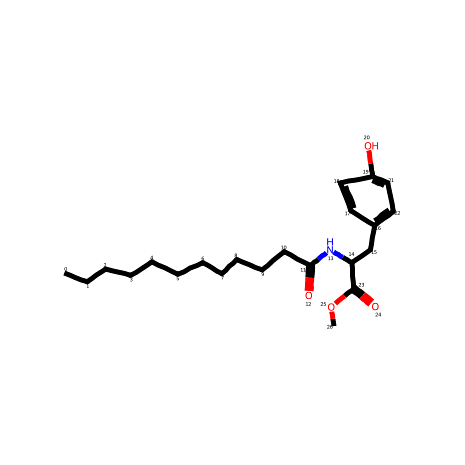 CCCCCCCCCCCC(=O)NC(Cc1ccc(O)cc1)C(=O)OC